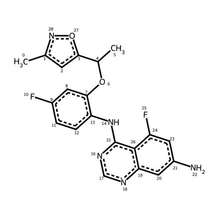 Cc1cc(C(C)Oc2cc(F)ccc2Nc2ncnc3cc(N)cc(F)c23)on1